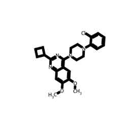 COc1cc2nc(C3CCC3)nc(N3CCN(c4ccccc4Cl)CC3)c2cc1OC